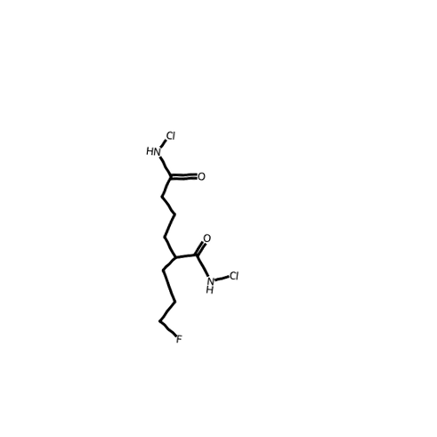 O=C(CCCC(CCCF)C(=O)NCl)NCl